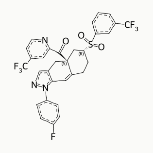 O=C(c1cc(C(F)(F)F)ccn1)[C@]12Cc3cnn(-c4ccc(F)cc4)c3C=C1CC[C@@H](S(=O)(=O)c1cccc(C(F)(F)F)c1)C2